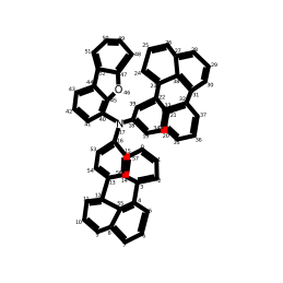 c1ccc(-c2cccc3cccc(-c4ccc(N(c5cccc(-c6cccc7cccc(-c8ccccc8)c67)c5)c5cccc6c5oc5ccccc56)cc4)c23)cc1